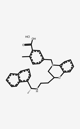 Cc1ccc(CN2CC(CCN[C@H](C)c3cccc4ccccc34)Oc3ccccc32)cc1C(=O)O.Cl